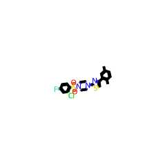 Cc1ccc(C)c(-c2csc(N3CCN(S(=O)(=O)c4ccc(F)cc4Cl)CC3)n2)c1